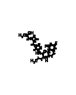 CCC[C@H](N[C@H]1CCc2cc(F)cc(F)c2C1)C(=O)Nc1cn(C[C@@H]2CCN2C[C@H](C)O)cn1